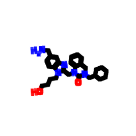 NCc1ccc2c(c1)nc(CN1C(=O)N(CC3CCCCC3)Cc3ccccc31)n2CCCCO